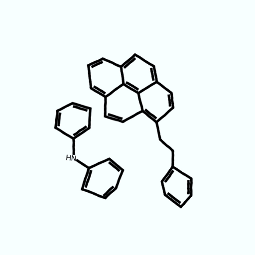 c1ccc(CCc2ccc3ccc4cccc5ccc2c3c45)cc1.c1ccc(Nc2ccccc2)cc1